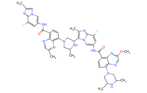 COc1cnc2c(N3CC(C)NC(C)C3)ccc(C(=O)Nc3cc(F)c4nc(C)c(C5CN(c6ccc(C(=O)Nc7cc(F)c8nc(C)cn8c7)c7ncc(C)nc67)CC(C)N5)n4c3)c2n1